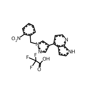 O=C(O)C(F)(F)F.O=[N+]([O-])c1ccccc1Cn1cc(-c2ccnc3[nH]ccc23)cn1